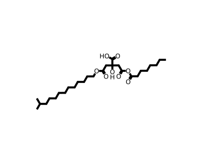 CCCCCCCC(=O)OC(=O)CC(O)(CC(=O)OCCCCCCCCCCCC(C)C)C(=O)O